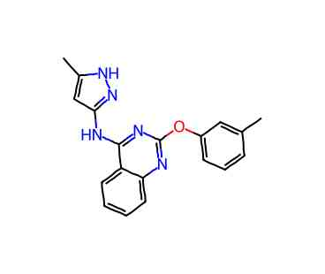 Cc1cccc(Oc2nc(Nc3cc(C)[nH]n3)c3ccccc3n2)c1